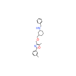 Cc1cccc(-c2nc(COCC3CCCC(NCc4ccccc4)C3)c(C)o2)c1